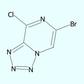 Clc1nc(Br)cn2nnnc12